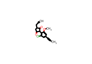 C#CCC1CC(=O)C(c2c(Cl)cc(C#CC)cc2OC)C1=O